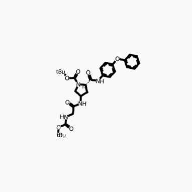 CC(C)(C)OC(=O)NCC(=O)NC1C[C@@H](C(=O)Nc2ccc(Oc3ccccc3)cc2)N(C(=O)OC(C)(C)C)C1